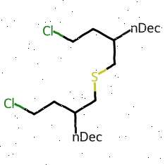 CCCCCCCCCCC(CCCl)CSCC(CCCl)CCCCCCCCCC